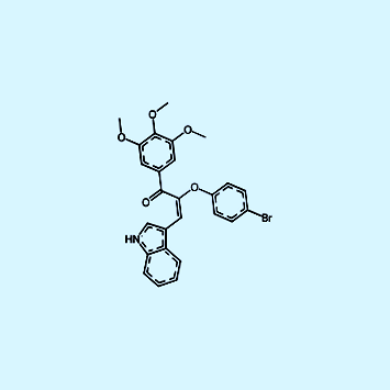 COc1cc(C(=O)/C(=C\c2c[nH]c3ccccc23)Oc2ccc(Br)cc2)cc(OC)c1OC